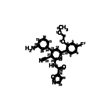 COCOc1cc(F)ccc1-c1cc(-c2cccc(N)c2)c(C#N)c(NC(=O)c2ccno2)n1